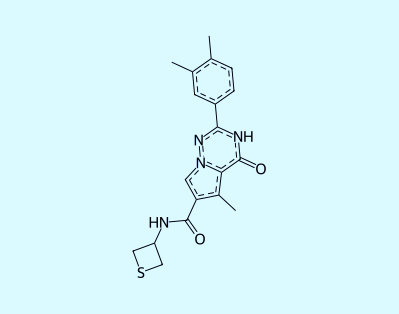 Cc1ccc(-c2nn3cc(C(=O)NC4CSC4)c(C)c3c(=O)[nH]2)cc1C